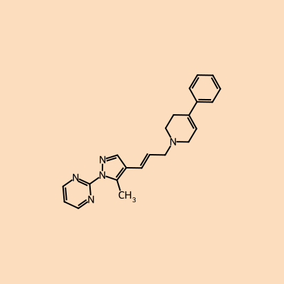 Cc1c(C=CCN2CC=C(c3ccccc3)CC2)cnn1-c1ncccn1